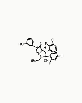 CC(C)(C)CC1N2CN(c3cccc(O)c3)C(=O)[C@H]2[C@H](c2cccc(Cl)c2F)[C@@]1(C#N)c1ccc(Cl)cc1F